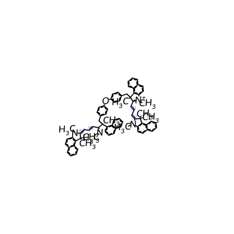 CN1/C(=C/C=C/C2=[N+](C)c3ccc4ccccc4c3C2(C)Cc2ccc(Oc3ccc(CC4(C)C(/C=C/C=C5/N(C)c6ccc7ccccc7c6C5(C)C)=[N+](C)c5ccc6ccccc6c54)cc3)cc2)C(C)(C)c2c1ccc1ccccc21